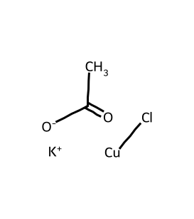 CC(=O)[O-].[Cl][Cu].[K+]